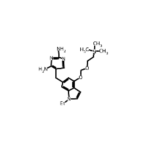 CCn1ccc2c(OCOCC[Si](C)(C)C)cc(Cc3cnc(N)nc3N)cc21